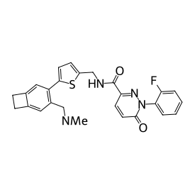 CNCc1cc2c(cc1-c1ccc(CNC(=O)c3ccc(=O)n(-c4ccccc4F)n3)s1)CC2